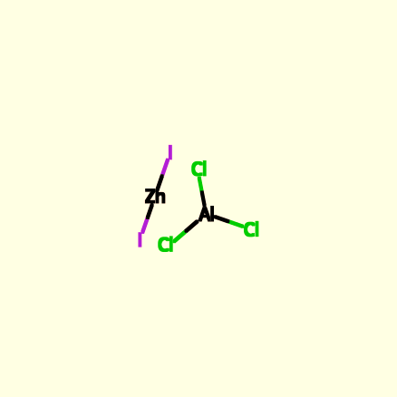 [Cl][Al]([Cl])[Cl].[I][Zn][I]